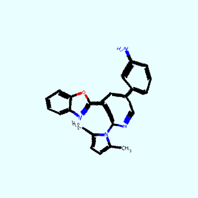 Cc1ccc(C)n1-c1ncc(-c2cccc(N)c2)cc1-c1nc2ccccc2o1